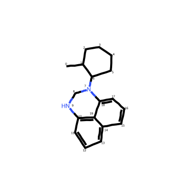 CC1CCCCC1N1CNc2cccc3cccc1c23